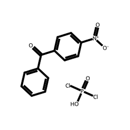 O=C(c1ccccc1)c1ccc([N+](=O)[O-])cc1.O=P(O)(Cl)Cl